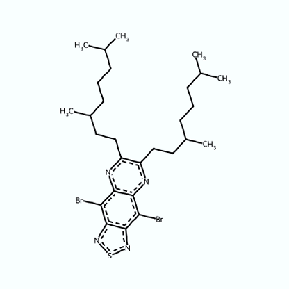 CC(C)CCCC(C)CCc1nc2c(Br)c3nsnc3c(Br)c2nc1CCC(C)CCCC(C)C